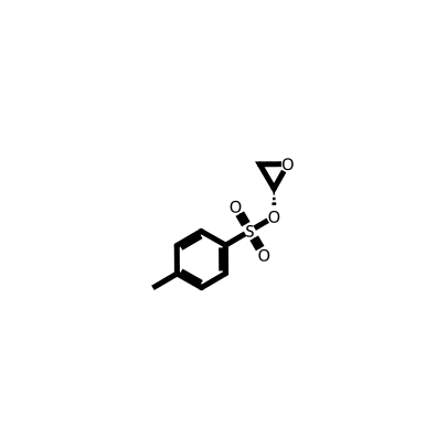 Cc1ccc(S(=O)(=O)O[C@@H]2CO2)cc1